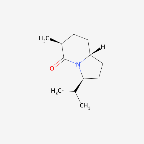 CC(C)[C@@H]1CC[C@H]2CC[C@H](C)C(=O)N21